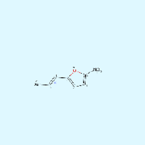 CC(=O)/C=C/c1ccc([N+](=O)[O-])o1